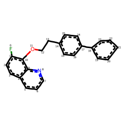 Fc1ccc2cccnc2c1OCCc1ccc(-c2ccccc2)cc1